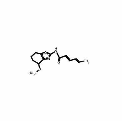 CC=CC=CC(=O)Nc1nc2c(s1)CCCC2OC(=O)O